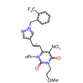 CCCn1c(/C=C/c2cnn(Cc3ccccc3C(F)(F)F)c2)c([N+](=O)[O-])c(=O)n(CCOC)c1=O